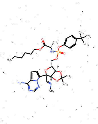 CCCCCCOC(=O)[C@H](C)NP(=O)(OC[C@H]1O[C@@](C=NC)(c2ccc3c(N)ncnn23)[C@@H]2OC(C)(C)O[C@@H]21)Oc1ccc(C(C)(C)C)cc1